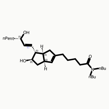 CCCCC[C@H](O)/C=C/[C@@H]1[C@H]2CC(CCCCC(=O)N(CCCC)CCCC)=C[C@H]2C[C@H]1O